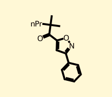 CCCC(C)(C)C(=O)c1cc(-c2ccccc2)no1